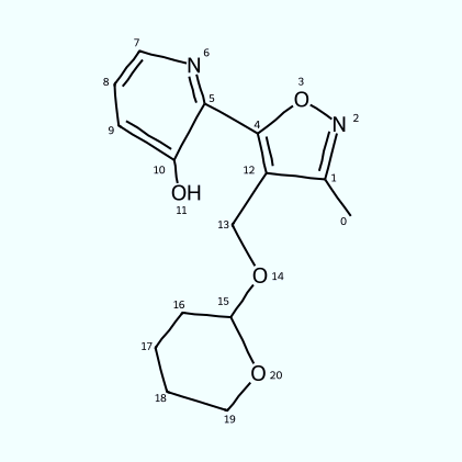 Cc1noc(-c2ncccc2O)c1COC1CCCCO1